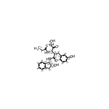 CCC(=S)N[C@H](C(=O)NO)[C@@H](Cc1cccc(O)c1)C(=O)N[C@H]1c2ccccc2C[C@H]1O